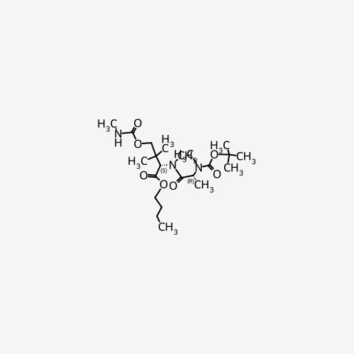 CCCCOC(=O)[C@@H](N(C)C(=O)[C@@H](C)N(C)C(=O)OC(C)(C)C)C(C)(C)COC(=O)NC